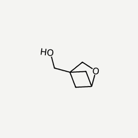 OCC12COC(C1)C2